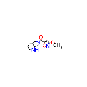 COc1cc(C(=O)N2CC3CCCNC3C2)on1